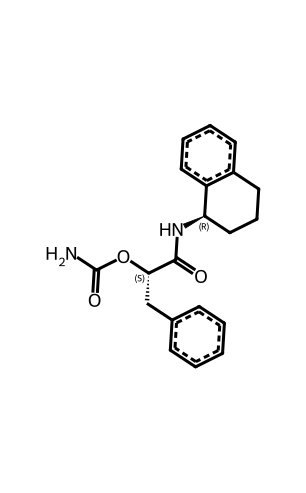 NC(=O)O[C@@H](Cc1ccccc1)C(=O)N[C@@H]1CCCc2ccccc21